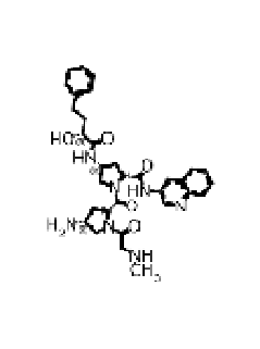 CNCC(=O)N1C[C@H](N)C[C@H]1C(=O)N1C[C@H](NC(=O)[C@H](O)CCc2ccccc2)C[C@H]1C(=O)Nc1cnc2ccccc2c1